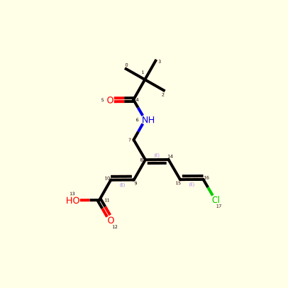 CC(C)(C)C(=O)NCC(/C=C/C(=O)O)=C/C=C/Cl